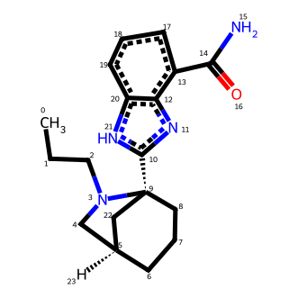 CCCN1C[C@@H]2CCC[C@@]1(c1nc3c(C(N)=O)cccc3[nH]1)C2